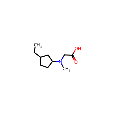 CCC1CCC(N(C)CC(=O)O)C1